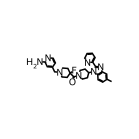 Cc1ccc2c(c1)nc(-c1ccccn1)n2C1CCN(C(=O)C2(F)CCN(Cc3ccnc(N)c3)CC2)CC1